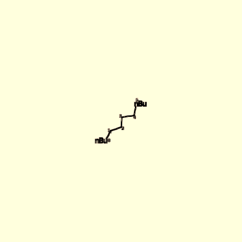 [CH2]CCC[CH]CCCCCCC